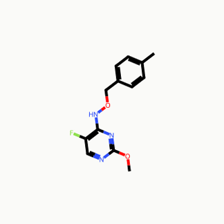 COc1ncc(F)c(NOCc2ccc(C)cc2)n1